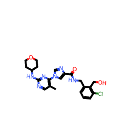 Cc1cnc(NC2CCOCC2)nc1-n1cnc(C(=O)NCc2cccc(Cl)c2CO)c1